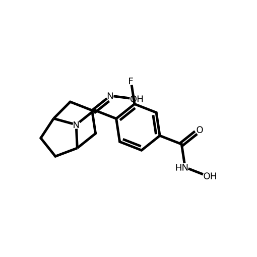 O=C(NO)c1ccc(CN2C3CCC2CC(=NO)C3)c(F)c1